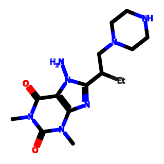 CCC(CN1CCNCC1)c1nc2c(c(=O)n(C)c(=O)n2C)n1N